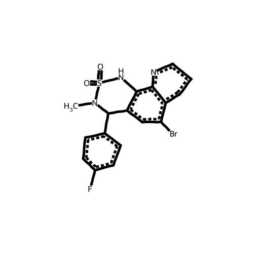 CN1C(c2ccc(F)cc2)c2cc(Br)c3cccnc3c2NS1(=O)=O